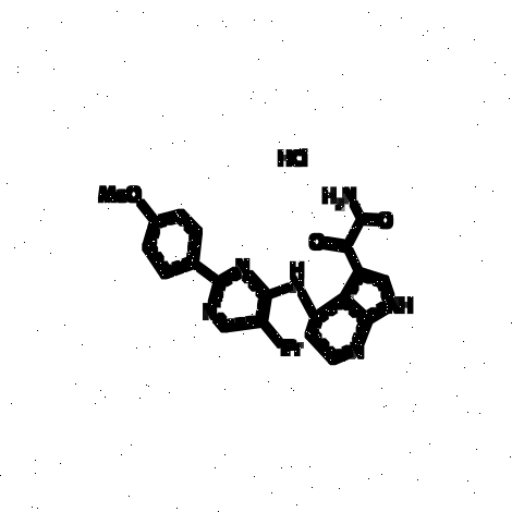 COc1ccc(-c2ncc(C(C)C)c(Nc3ccnc4[nH]cc(C(=O)C(N)=O)c34)n2)cc1.Cl